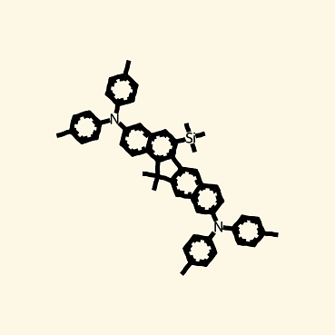 Cc1ccc(N(c2ccc(C)cc2)c2ccc3cc4c(cc3c2)C(C)(C)c2c-4c([Si](C)(C)C)cc3cc(N(c4ccc(C)cc4)c4ccc(C)cc4)ccc23)cc1